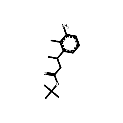 Cc1c(N)cccc1C(C)CC(=O)OC(C)(C)C